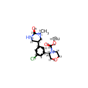 CN1CC(c2cc(Cl)cc([C@@H]3COCCN3C(=O)OC(C)(C)C)c2)CNC1=O